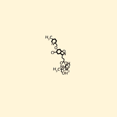 C1=COCO1.CC(C)(N)CO.Cc1ccc(COc2cc3onc(CCC(=O)O)c3cc2Cl)nc1